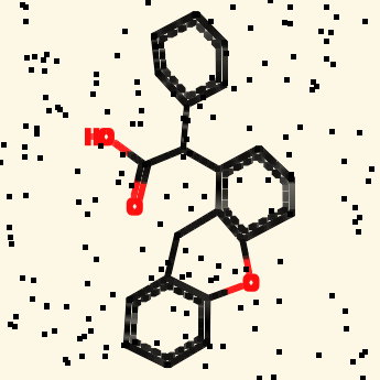 O=C(O)C(c1ccccc1)c1cccc2c1Cc1ccccc1O2